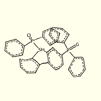 O=P(c1ccccc1)(c1ccccc1)c1ccc2c(c1)[SH](P(=O)(c1ccccc1)c1ccccc1)c1ccccc1-2